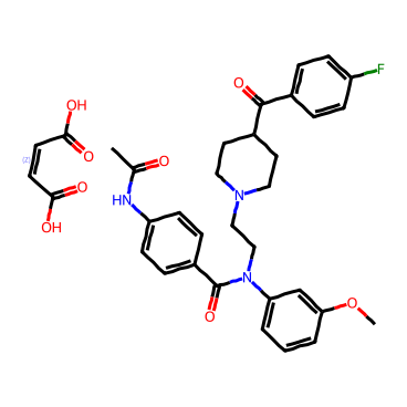 COc1cccc(N(CCN2CCC(C(=O)c3ccc(F)cc3)CC2)C(=O)c2ccc(NC(C)=O)cc2)c1.O=C(O)/C=C\C(=O)O